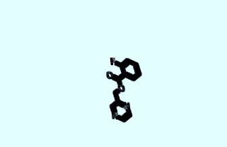 O=C(OCc1cnccn1)c1ccccc1F